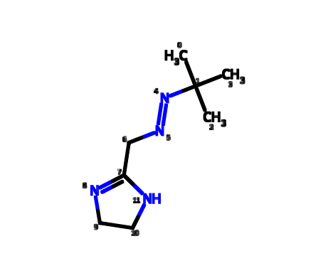 CC(C)(C)N=NCC1=NCCN1